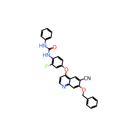 N#Cc1cc2c(Oc3ccc(NC(=O)Nc4ccccc4)c(F)c3)ccnc2cc1OCc1ccccc1